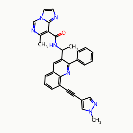 Cc1ncn2ccnc2c1C(=O)NC(C)c1cc2cccc(C#Cc3cnn(C)c3)c2nc1-c1ccccc1